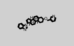 C[C@]12CC[C@H](OCc3cccnc3)CC1=CC[C@@H]1[C@@H]2CC[C@]2(C)C(n3cnc4ccccc43)=CC[C@@H]12